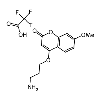 COc1ccc2c(OCCCN)cc(=O)oc2c1.O=C(O)C(F)(F)F